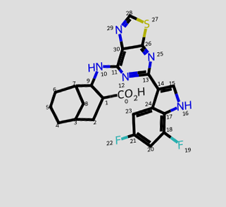 O=C(O)C1CC2CCCC(C2)C1Nc1nc(-c2c[nH]c3c(F)cc(F)cc23)nc2scnc12